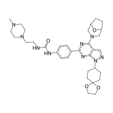 CN1CCN(CCNC(=O)Nc2ccc(-c3nc(N4CC5CCC(C4)O5)c4cnn(C5CCC6(CC5)OCCO6)c4n3)cc2)CC1